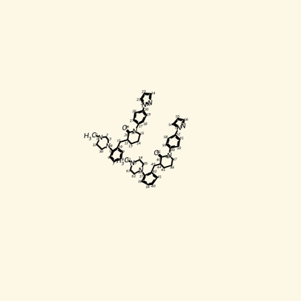 CN1CCN(c2ccccc2CC2CCCN(c3ccc(-n4cccn4)cc3)C2=O)CC1.CN1CCN(c2ccccc2CC2CCCN(c3ccc(-n4cccn4)cc3)C2=O)CC1